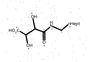 CCCCCCCCNC(=O)C(O)C(O)C(=O)O